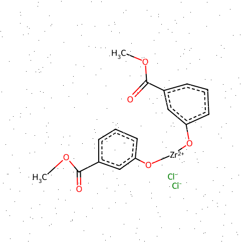 COC(=O)c1cccc([O][Zr+2][O]c2cccc(C(=O)OC)c2)c1.[Cl-].[Cl-]